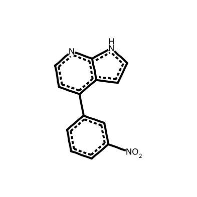 O=[N+]([O-])c1cccc(-c2ccnc3[nH]ccc23)c1